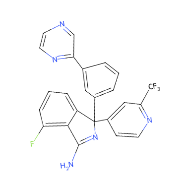 NC1=NC(c2cccc(-c3cnccn3)c2)(c2ccnc(C(F)(F)F)c2)c2cccc(F)c21